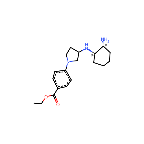 CCOC(=O)c1ccc(N2CCC(N[C@@H]3CCCC[C@H]3N)C2)cc1